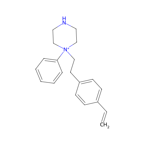 C=Cc1ccc(CC[N+]2(c3ccccc3)CCNCC2)cc1